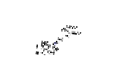 CNC(CCCC/N=C/C(O)C(O)C(O)C(O)CO)C(=O)OC